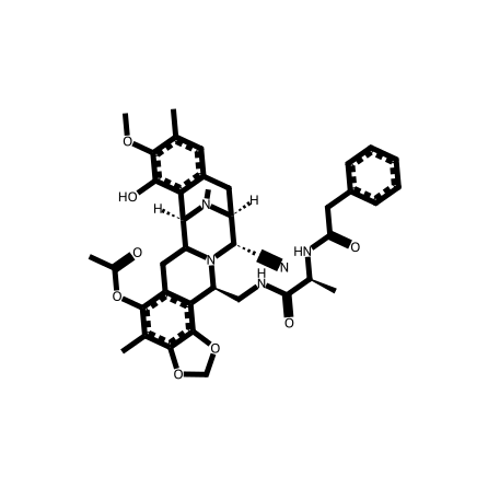 COc1c(C)cc2c(c1O)[C@@H]1C3Cc4c(OC(C)=O)c(C)c5c(c4[C@H](CNC(=O)[C@H](C)NC(=O)Cc4ccccc4)N3[C@@H](C#N)[C@H](C2)N1C)OCO5